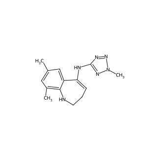 Cc1cc(C)c2c(c1)C(Nc1nnn(C)n1)=CCCN2